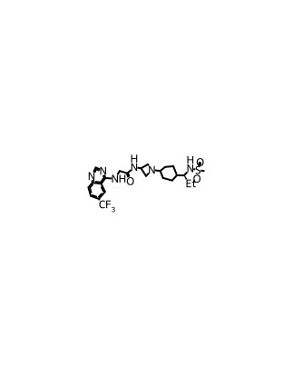 CC[C@H](NS(C)(=O)=O)C1CCC(N2CC(NC(=O)CNc3ncnc4ccc(C(F)(F)F)cc34)C2)CC1